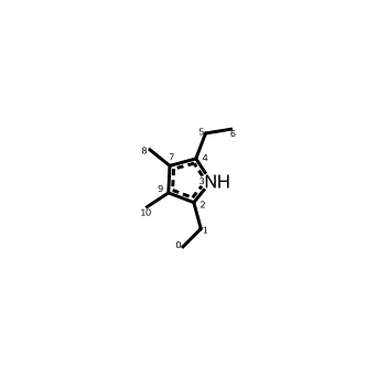 CCc1[nH]c(CC)c(C)c1C